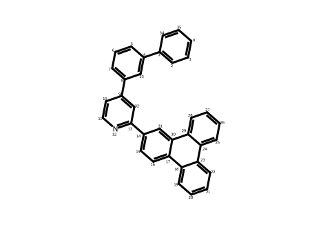 c1ccc(-c2cccc(-c3ccnc(-c4ccc5c6ccccc6c6ccccc6c5c4)c3)c2)cc1